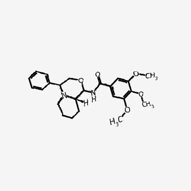 COc1cc(C(=O)NC2OCC(c3ccccc3)N3CCCC[C@@H]23)cc(OC)c1OC